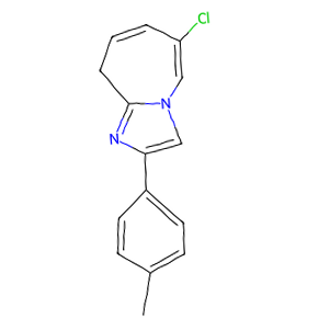 Cc1ccc(-c2cn3c(n2)CC=CC(Cl)=C3)cc1